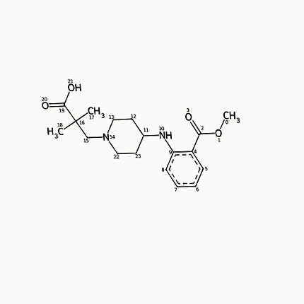 COC(=O)c1ccccc1NC1CCN(CC(C)(C)C(=O)O)CC1